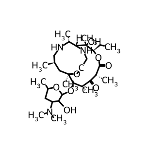 CC[C@H]1OC(=O)[C@H](C)C(=O)[C@H](C)[C@@H](OC2OC(C)CC(N(C)C)C2O)[C@@]2(C)C[C@@H](C)CN[C@H](C)[C@@H](NCCO2)[C@]1(C)O